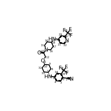 N#Cc1ccc(N[C@H]2CC[C@H](OCC(=O)N3CCC(Nc4ccnc(C(F)(F)F)c4)CC3)CC2)cc1C(F)(F)F